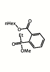 CCCCCCOC(=O)c1ccccc1P(=O)(CC)OC